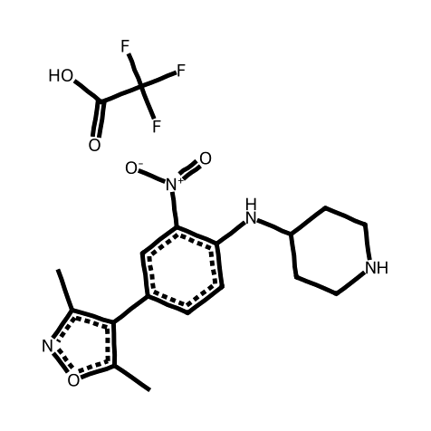 Cc1noc(C)c1-c1ccc(NC2CCNCC2)c([N+](=O)[O-])c1.O=C(O)C(F)(F)F